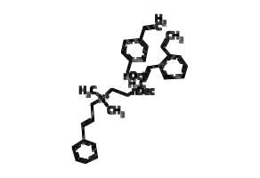 C=Cc1ccc(CCCCCCCC)cc1.C=Cc1ccccc1C=C.CCCCCCCCCCCC[N+](C)(C)CC=Cc1ccccc1